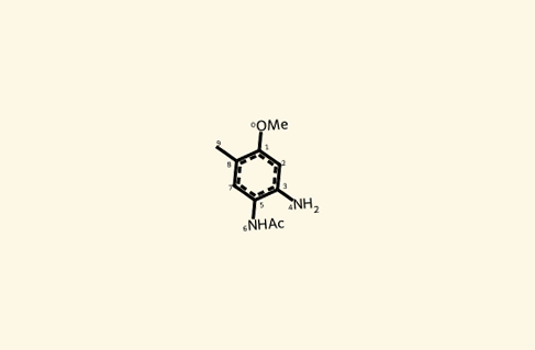 COc1cc(N)c(NC(C)=O)cc1C